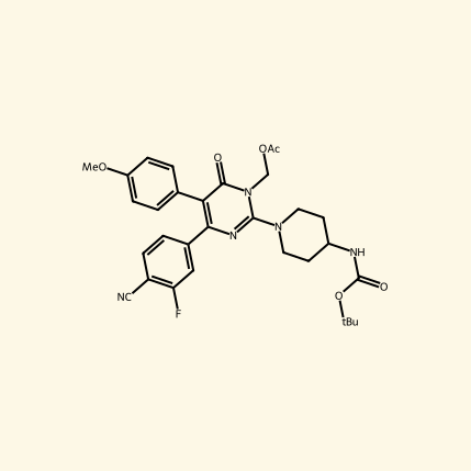 COc1ccc(-c2c(-c3ccc(C#N)c(F)c3)nc(N3CCC(NC(=O)OC(C)(C)C)CC3)n(COC(C)=O)c2=O)cc1